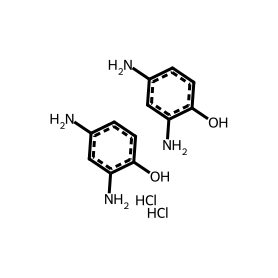 Cl.Cl.Nc1ccc(O)c(N)c1.Nc1ccc(O)c(N)c1